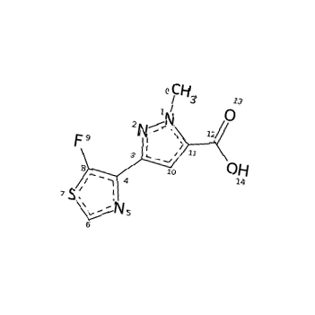 Cn1nc(-c2ncsc2F)cc1C(=O)O